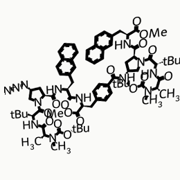 COC(=O)[C@H](Cc1ccc(C(=O)N[C@H]2C[C@@H](C(=O)N[C@@H](Cc3ccc4ccccc4c3)C(=O)OC)N(C(=O)[C@@H](NC(=O)[C@H](C)N(C)C(=O)OC(C)(C)C)C(C)(C)C)C2)cc1)NC(=O)[C@H](Cc1ccc2ccccc2c1)NC(=O)[C@@H]1C[C@H](N=[N+]=[N-])CN1C(=O)[C@@H](NC(=O)[C@H](C)N(C)C(=O)OC(C)(C)C)C(C)(C)C